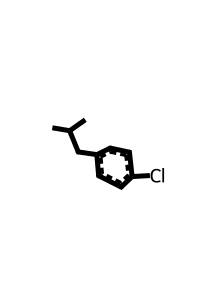 C[C](C)Cc1ccc(Cl)cc1